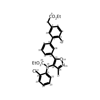 CCOC(=O)Cc1ccc(F)c(-c2cccc(-c3onc(C)c3N(C(=O)OCC)c3ccccc3Cl)c2)c1